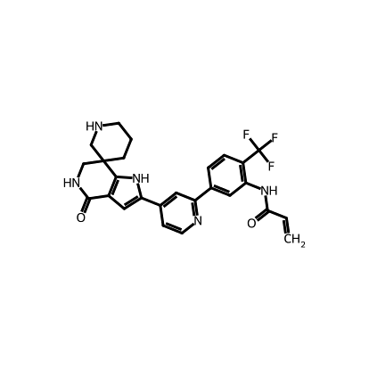 C=CC(=O)Nc1cc(-c2cc(-c3cc4c([nH]3)C3(CCCNC3)CNC4=O)ccn2)ccc1C(F)(F)F